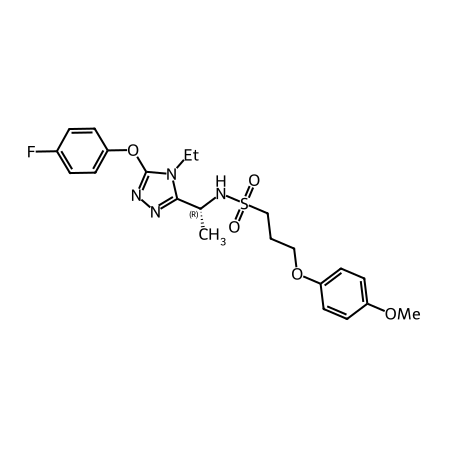 CCn1c(Oc2ccc(F)cc2)nnc1[C@@H](C)NS(=O)(=O)CCCOc1ccc(OC)cc1